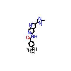 [2H]C([2H])([2H])c1ccc(C(=O)Nc2cc3cc(-c4cnc(C)n4C)cnc3cn2)cc1